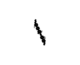 CCCCc1ccc(-c2ccc(-c3cc(C)c(C#Cc4ccc(-c5ccc(CCC)cc5F)c(F)c4)c(F)c3)cc2)c(F)c1